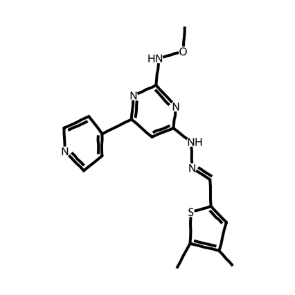 CONc1nc(N/N=C/c2cc(C)c(C)s2)cc(-c2ccncc2)n1